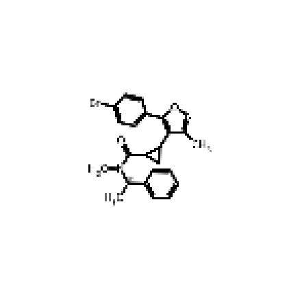 Cc1noc(-c2ccc(Br)cc2)c1C1CC1C(=O)N(C)[C@H](C)c1ccccc1